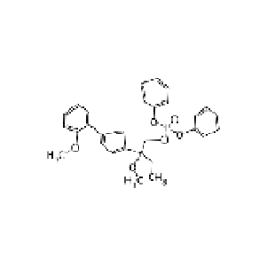 CCC(COP(=O)(Oc1ccccc1)Oc1ccccc1)(OC)c1ccc(-c2ccccc2OC)cc1